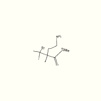 CCC(C)(C)C(C)(CCN)C(=O)OC